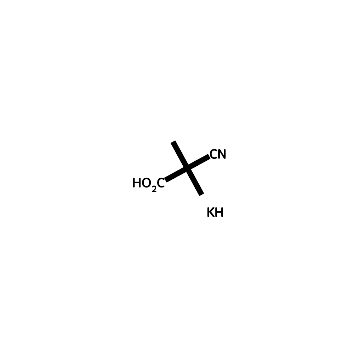 CC(C)(C#N)C(=O)O.[KH]